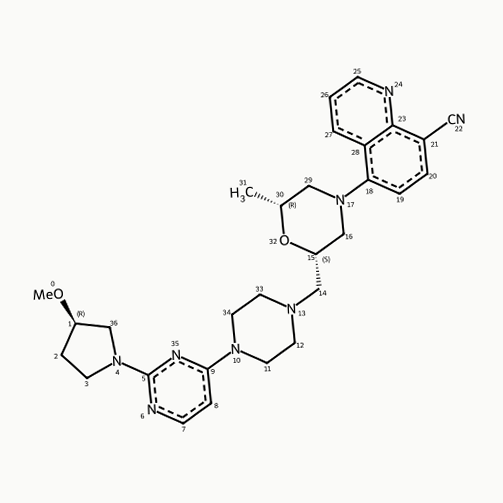 CO[C@@H]1CCN(c2nccc(N3CCN(C[C@H]4CN(c5ccc(C#N)c6ncccc56)C[C@@H](C)O4)CC3)n2)C1